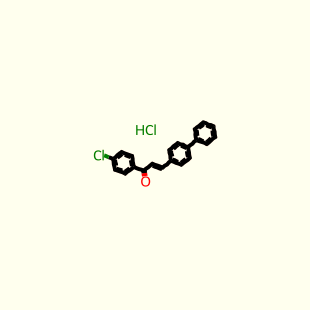 Cl.O=C(/C=C/c1ccc(-c2ccccc2)cc1)c1ccc(Cl)cc1